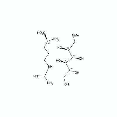 CNC[C@H](O)[C@@H](O)[C@H](O)[C@H](O)CO.N=C(N)NCCC[C@H](N)C(=O)O